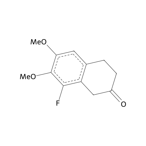 COc1cc2c(c(F)c1OC)CC(=O)CC2